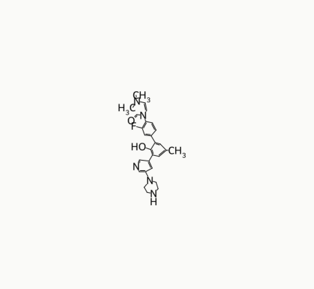 Cc1cc(-c2cncc(N3CCNCC3)c2)c(O)c(-c2ccc(N(C=O)/C=C\N(C)C)c(F)c2)c1